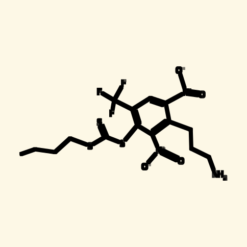 CCCCSC(=S)Sc1c(C(F)(F)F)cc([N+](=O)[O-])c(CCCN)c1[N+](=O)[O-]